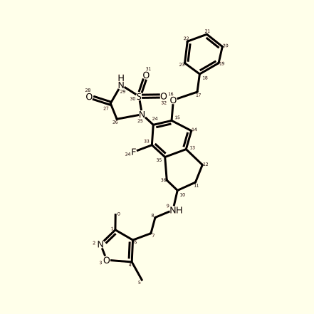 Cc1noc(C)c1CCNC1CCc2cc(OCc3ccccc3)c(N3CC(=O)NS3(=O)=O)c(F)c2C1